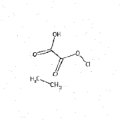 CC.O=C(O)C(=O)OCl